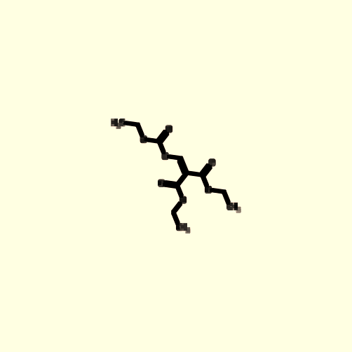 CCOC(=O)OC=C(C(=O)OCC)C(=O)OCC